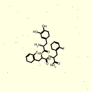 NC(=O)C(CC1=C(F)C=CCC1)NC(=O)C(CC1=C(F)C=CCC1)NC(=O)C(N)CC1=CC(O)=C(O)CC1